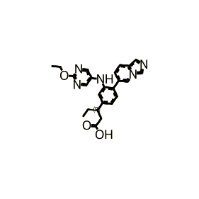 CCOc1ncc(Nc2cc([C@H](CC)CC(=O)O)ccc2-c2ccc3cncn3c2)cn1